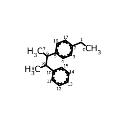 CCc1ccc(C(C)C(C)c2ccccc2)cc1